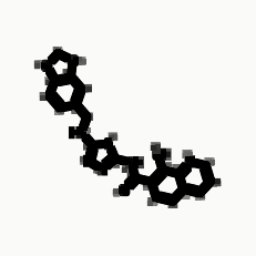 O=C(Nc1nnc(NCc2ccc3c(c2)OCO3)s1)c1ccc2cccnc2c1O